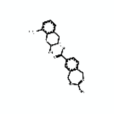 NC1=NCc2ccc(C(=O)N[C@H]3Cc4cccc(C(=O)O)c4OB3O)cc2CN1